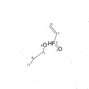 C=C[PH](=O)OCCC